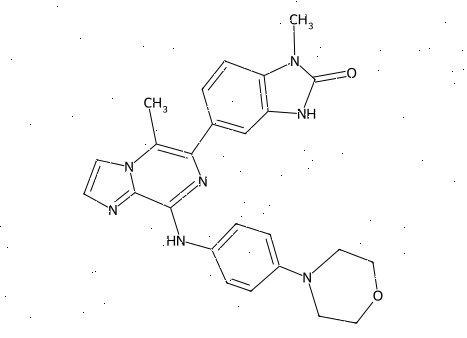 Cc1c(-c2ccc3c(c2)[nH]c(=O)n3C)nc(Nc2ccc(N3CCOCC3)cc2)c2nccn12